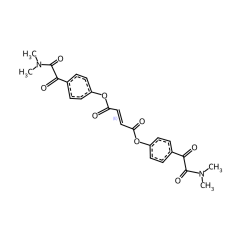 CN(C)C(=O)C(=O)c1ccc(OC(=O)/C=C/C(=O)Oc2ccc(C(=O)C(=O)N(C)C)cc2)cc1